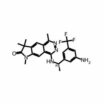 Cc1nnc(N[C@H](C)c2cc(N)cc(C(F)(F)F)c2)c2cc3c(cc12)C(C)(C)C(=O)N3C